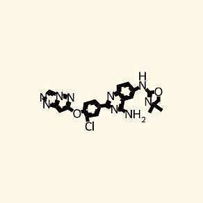 CC1(C)COC(Nc2ccc3nc(-c4ccc(Oc5cc6nncn6cn5)c(Cl)c4)nc(N)c3c2)=N1